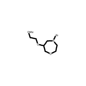 COCCOC1COCCN(C(C)C)C1